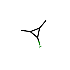 CC1C(C)C1F